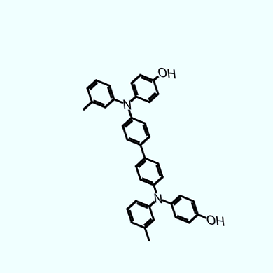 Cc1cccc(N(c2ccc(O)cc2)c2ccc(-c3ccc(N(c4ccc(O)cc4)c4cccc(C)c4)cc3)cc2)c1